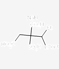 CCCCCC(CC)C(CC(=O)O)(C(=O)O)S(=O)(=O)O.[NaH]